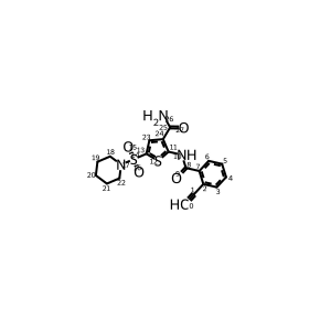 C#Cc1ccccc1C(=O)Nc1sc(S(=O)(=O)N2CCCCC2)cc1C(N)=O